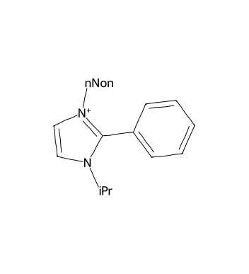 CCCCCCCCC[n+]1ccn(C(C)C)c1-c1ccccc1